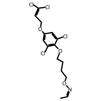 C/C=N\OCCCCOc1c(Cl)cc(OCC=C(Cl)Cl)cc1Cl